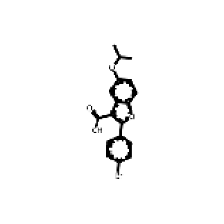 CC(C)Oc1ccc2oc(-c3ccc(Br)cc3)c(C(=O)O)c2c1